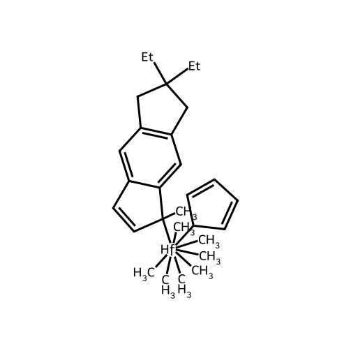 CCC1(CC)Cc2cc3c(cc2C1)[C](C)([Hf]([CH3])([CH3])([CH3])([CH3])([CH3])([CH3])([CH3])[CH]1C=CC=C1)C=C3